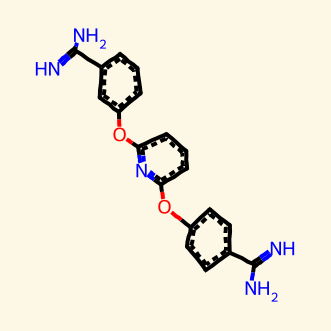 N=C(N)c1ccc(Oc2cccc(Oc3cccc(C(=N)N)c3)n2)cc1